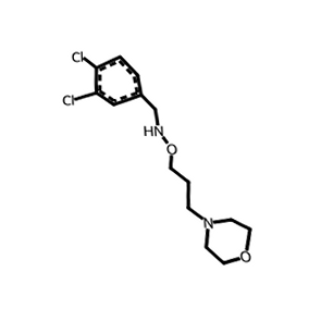 Clc1ccc(CNOCCCN2CCOCC2)cc1Cl